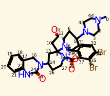 CN1CCN(C2CCN(C3(CC=O)CC(N4Cc5ccccc5NC4=O)CC[N@+]3(Cc3ccc(Br)c(Br)c3)C(=O)[O-])CC2)CC1